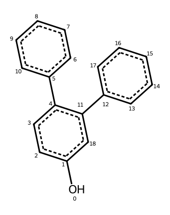 Oc1ccc(-c2ccccc2)c(-c2ccccc2)c1